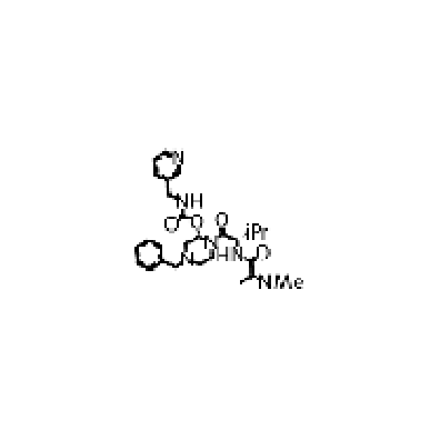 CN[C@@H](C)C(=O)N[C@H](C(=O)N1CCN(Cc2ccccc2)C[C@@H]1OC(=O)NCc1cccnc1)C(C)C